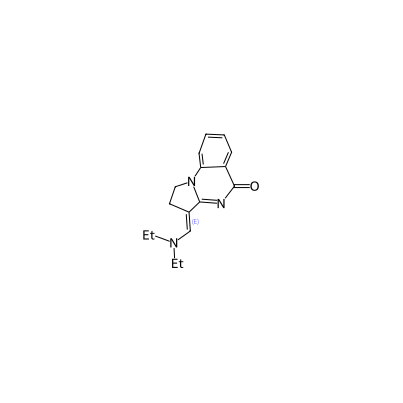 CCN(/C=C1\CCn2c1nc(=O)c1ccccc12)CC